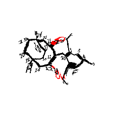 CCc1cc(C)cc(CC)c1/C1=C(\O)C[C@H]2CC[C@H](CC2)CC1=O